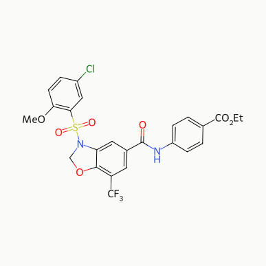 CCOC(=O)c1ccc(NC(=O)c2cc3c(c(C(F)(F)F)c2)OCN3S(=O)(=O)c2cc(Cl)ccc2OC)cc1